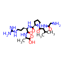 CC(C)[C@@H](NC(=O)CN)C(=O)N1CCC[C@@H]1C(=O)N[C@H](CCCNC(=N)N)C(=O)N[C@@H](C)C(=O)O